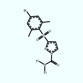 CCN(CC)C(=O)n1ccc(S(=O)(=O)c2c(C)cc(Br)cc2C)n1